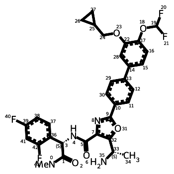 CNC(=O)[C@@H](NC(=O)c1nc(-c2ccc(-c3ccc(OC(F)F)c(OCC4CC4)c3)cc2)oc1[C@H](C)N)c1ccc(F)cc1F